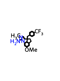 COc1ccc2c(c1)CCC2(Cc1ccc(C(F)(F)F)cc1)c1cn(C)c(N)n1